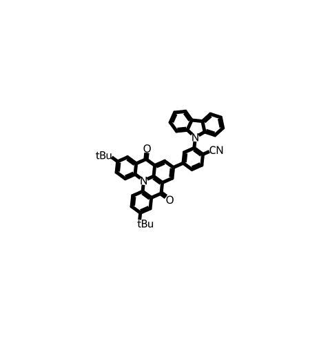 CC(C)(C)c1ccc2c(c1)c(=O)c1cc(-c3ccc(C#N)c(-n4c5ccccc5c5ccccc54)c3)cc3c(=O)c4cc(C(C)(C)C)ccc4n2c13